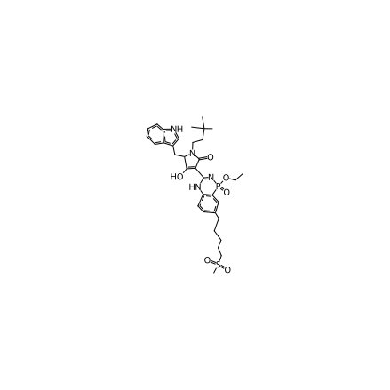 CCOP1(=O)N=C(C2=C(O)C(Cc3c[nH]c4ccccc34)N(CCC(C)(C)C)C2=O)Nc2ccc(CCCCCS(C)(=O)=O)cc21